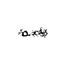 C[Si]1(C)CC[Si](C)(C)N1C1C(=O)N2CC(Cl)(C(=O)OCc3ccc([N+](=O)[O-])cc3)CS[C@H]12